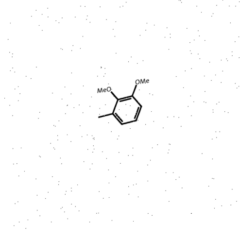 COc1c[c]cc(C)c1OC